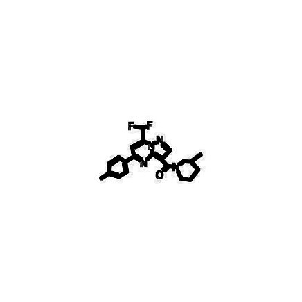 Cc1ccc(-c2cc(C(F)F)n3ncc(C(=O)N4CCCC(C)C4)c3n2)cc1